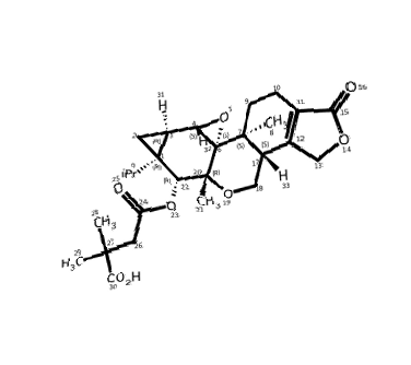 CC(C)[C@]12C[C@H]1[C@@H]1O[C@@]13[C@@]1(C)CCC4=C(COC4=O)[C@@H]1CO[C@]3(C)[C@@H]2OC(=O)CC(C)(C)C(=O)O